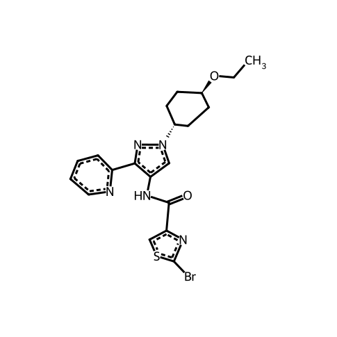 CCO[C@H]1CC[C@H](n2cc(NC(=O)c3csc(Br)n3)c(-c3ccccn3)n2)CC1